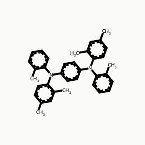 Cc1ccc(N(c2ccc(N(c3ccccc3C)c3ccc(C)cc3C)cc2)c2ccccc2C)c(C)c1